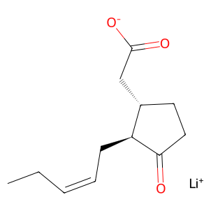 CC/C=C\C[C@@H]1C(=O)CC[C@H]1CC(=O)[O-].[Li+]